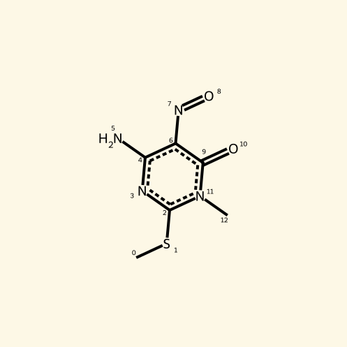 CSc1nc(N)c(N=O)c(=O)n1C